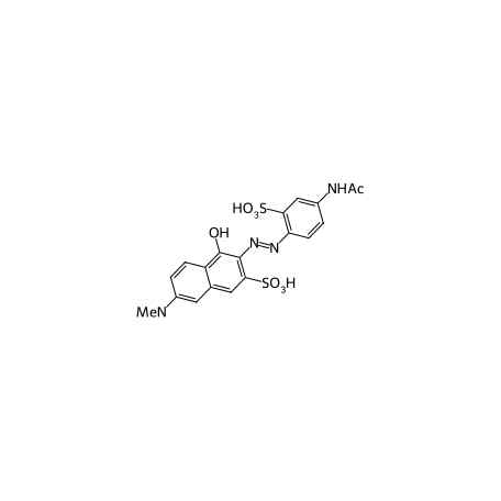 CNc1ccc2c(O)c(N=Nc3ccc(NC(C)=O)cc3S(=O)(=O)O)c(S(=O)(=O)O)cc2c1